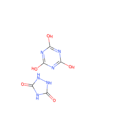 O=c1[nH][nH]c(=O)[nH]1.Oc1nc(O)nc(O)n1